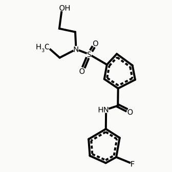 CCN(CCO)S(=O)(=O)c1cccc(C(=O)Nc2cccc(F)c2)c1